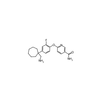 NCC1(c2ccc(Oc3ccc(C(N)=O)cn3)c(F)c2)CCCCCC1